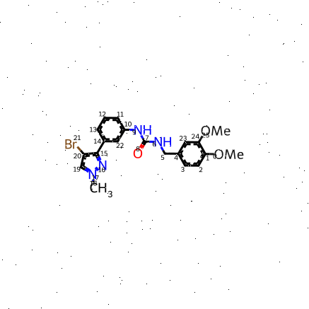 COc1ccc(CNC(=O)Nc2cccc(-c3nn(C)cc3Br)c2)cc1OC